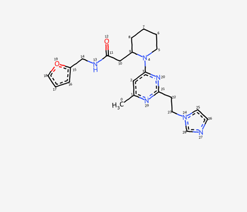 Cc1cc(N2CCCCC2CC(=O)NCc2ccco2)nc(CCn2ccnc2)n1